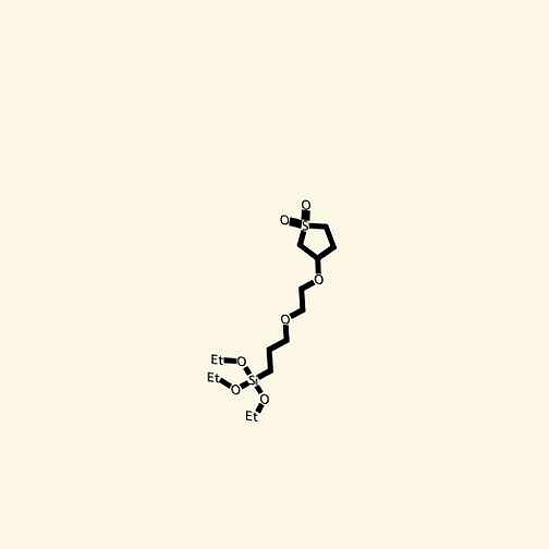 CCO[Si](CCCOCCOC1CCS(=O)(=O)C1)(OCC)OCC